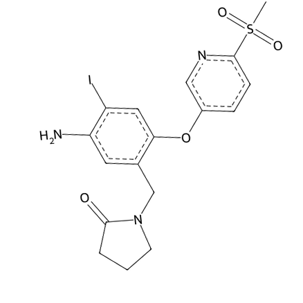 CS(=O)(=O)c1ccc(Oc2cc(I)c(N)cc2CN2CCCC2=O)cn1